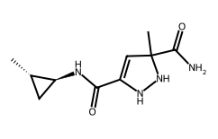 C[C@H]1C[C@@H]1NC(=O)C1=CC(C)(C(N)=O)NN1